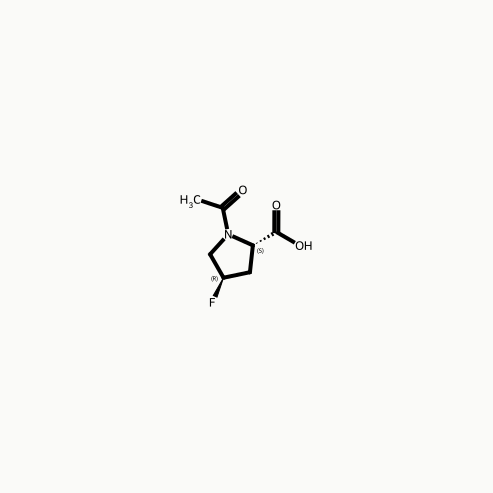 CC(=O)N1C[C@H](F)C[C@H]1C(=O)O